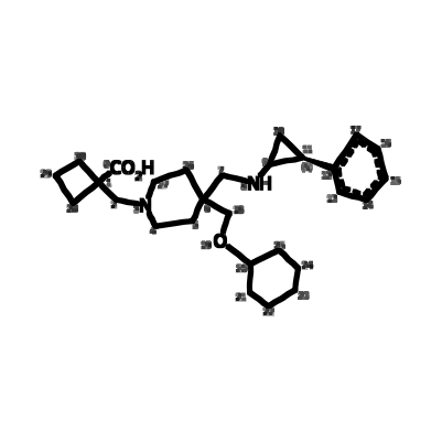 O=C(O)C1(CN2CCC(CNC3C[C@H]3c3ccccc3)(COC3CCCCC3)CC2)CCC1